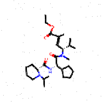 CCOC(=O)/C(C)=C/[C@H](C(C)C)N(C)C(=O)[C@@H](NC(=O)[C@H]1CCCCN1C(C)C)C1CCCC1